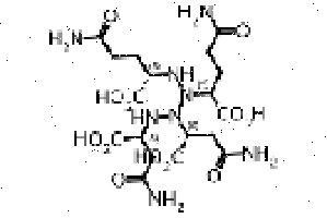 NC(=O)CC[C@H](NN([C@@H](CCC(N)=O)C(=O)O)N(N[C@@H](CC(N)=O)C(=O)O)[C@@H](CC(N)=O)C(=O)O)C(=O)O